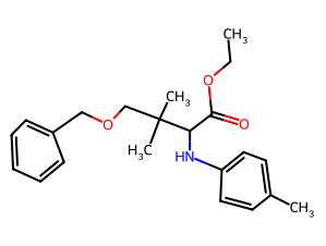 CCOC(=O)C(Nc1ccc(C)cc1)C(C)(C)COCc1ccccc1